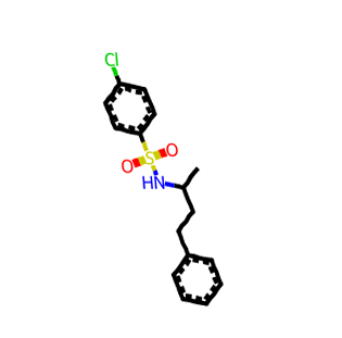 CC(CCc1ccccc1)NS(=O)(=O)c1ccc(Cl)cc1